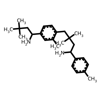 Cc1ccc(C(N)CC(C)(C)Cc2ccc(C(N)CC(C)(C)C)cc2C)cc1